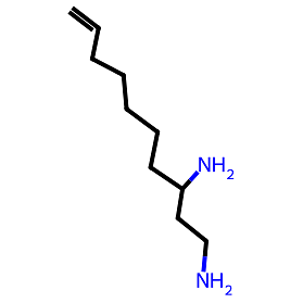 C=CCCCCCC(N)CCN